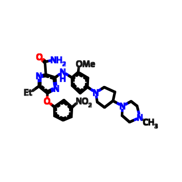 CCc1nc(C(N)=O)c(Nc2ccc(N3CCC(N4CCN(C)CC4)CC3)cc2OC)nc1Oc1cccc([N+](=O)[O-])c1